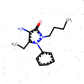 CCCCn1c(=O)c(N)c(CC)n1-c1ccccc1